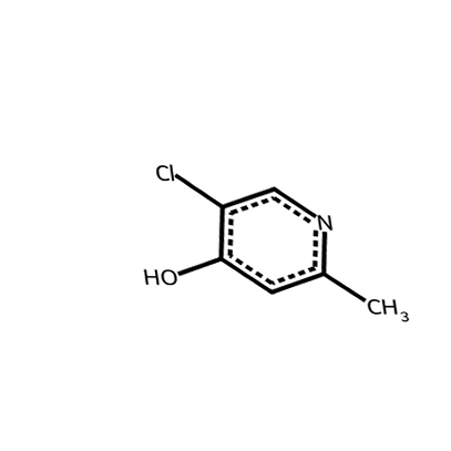 Cc1cc(O)c(Cl)cn1